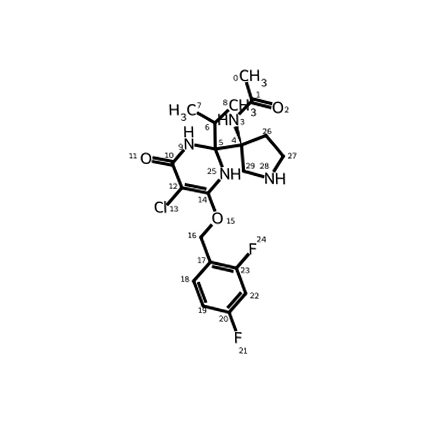 CC(=O)N[C@@]1(C2(C(C)C)NC(=O)C(Cl)=C(OCc3ccc(F)cc3F)N2)CCNC1